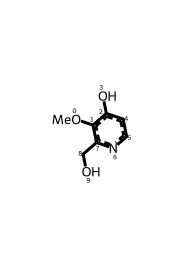 COc1c(O)ccnc1CO